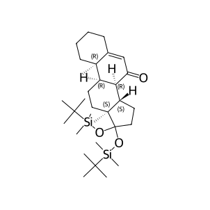 CC(C)(C)[Si](C)(C)OC1(O[Si](C)(C)C(C)(C)C)CC[C@H]2[C@@H]3C(=O)C=C4CCCC[C@]4(C)[C@@H]3CC[C@@]21C